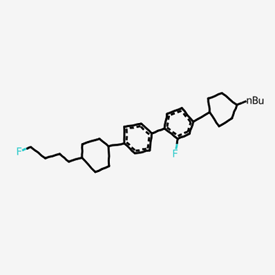 CCCCC1CCC(c2ccc(-c3ccc(C4CCC(CCCCF)CC4)cc3)c(F)c2)CC1